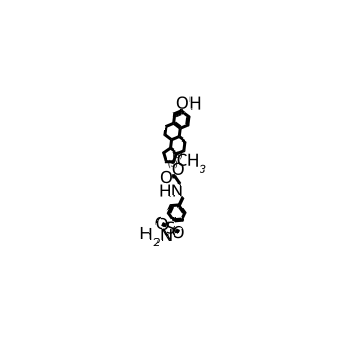 C[C@]12CCC3c4ccc(O)cc4CCC3C1CC[C@@H]2OC(=O)CNCc1ccc(S(N)(=O)=O)cc1